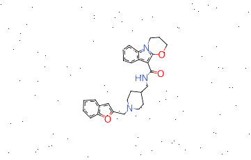 O=C(NCC1CCN(Cc2cc3ccccc3o2)CC1)c1c2n(c3ccccc13)CCCO2